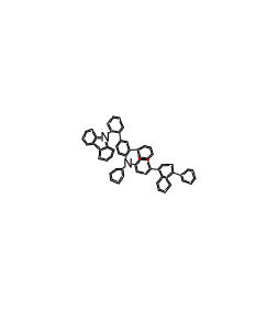 c1ccc(-c2cc(-c3ccccc3-n3c4ccccc4c4ccccc43)ccc2N(c2ccccc2)c2ccc(-c3ccc(-c4ccccc4)c4ccccc34)cc2)cc1